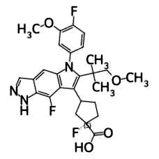 COCC(C)(C)c1c(C2CC[C@@](F)(C(=O)O)C2)c2c(F)c3[nH]ncc3cc2n1-c1ccc(F)c(OC)c1